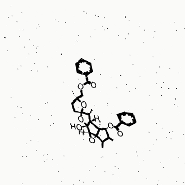 CC1C(C)[C@]23O[C@H]2[C@]2(O)O[C@@]4(CC[C@@](C)(COC(=O)c5ccccc5)O4)[C@@H](C)[C@@H]2[C@@]3(C)[C@@H]1OC(=O)c1ccccc1